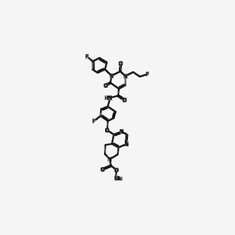 CC(C)(C)OC(=O)N1CCc2c(ncnc2Oc2ccc(NC(=O)c3cn(CCF)c(=O)n(-c4ccc(F)cc4)c3=O)cc2F)C1